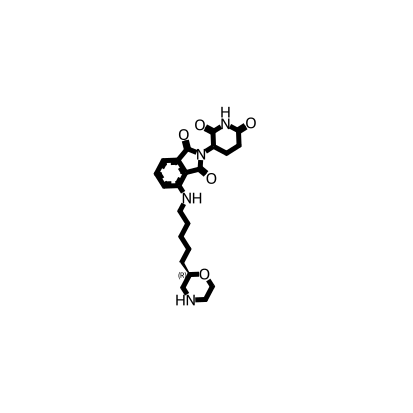 O=C1CCC(N2C(=O)c3cccc(NCCCCC[C@@H]4CNCCO4)c3C2=O)C(=O)N1